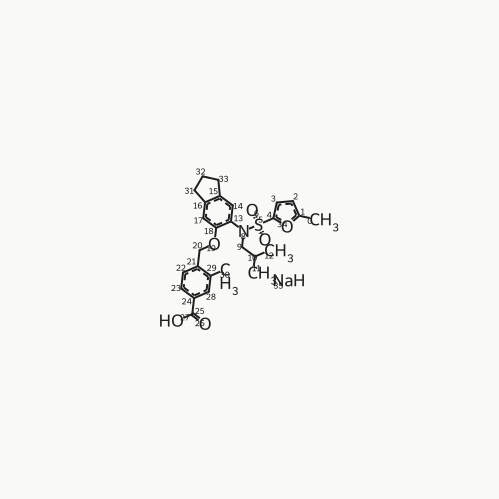 Cc1ccc(S(=O)(=O)N(CC(C)C)c2cc3c(cc2OCc2ccc(C(=O)O)cc2C)CCC3)o1.[NaH]